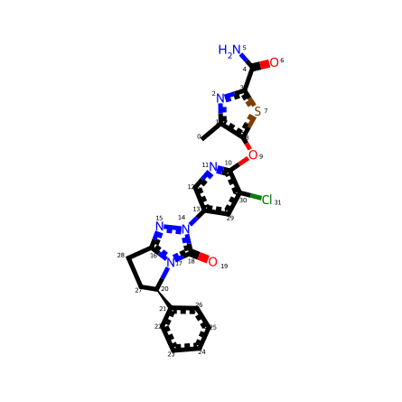 Cc1nc(C(N)=O)sc1Oc1ncc(-n2nc3n(c2=O)[C@@H](c2ccccc2)CC3)cc1Cl